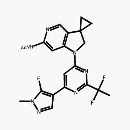 CC(=O)Nc1cc2c(cn1)C1(CC1)CN2c1cc(-c2cnn(C)c2F)nc(C(C)(F)F)n1